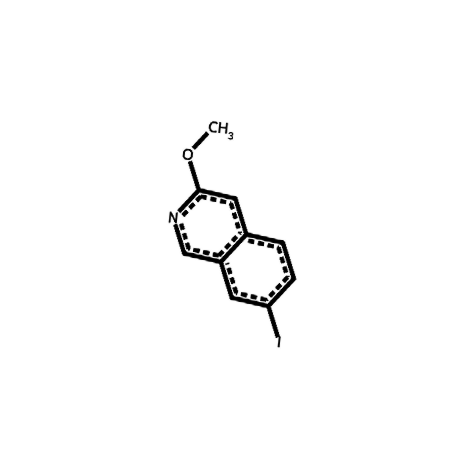 COc1cc2ccc(I)cc2cn1